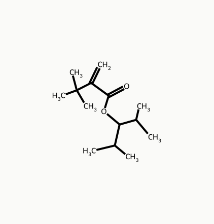 C=C(C(=O)OC(C(C)C)C(C)C)C(C)(C)C